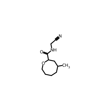 CC1CCCCOC(C(=O)NCC#N)C1